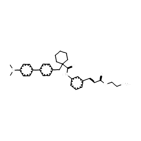 COCCOC(=O)/C=C/c1cccc(NC(=O)C2(Cc3ccc(-c4ccc(N(C)C)cc4)cc3)CCCCC2)c1